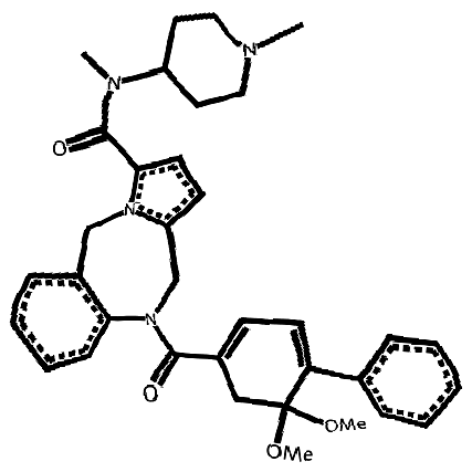 COC1(OC)CC(C(=O)N2Cc3ccc(C(=O)N(C)C4CCN(C)CC4)n3Cc3ccccc32)=CC=C1c1ccccc1